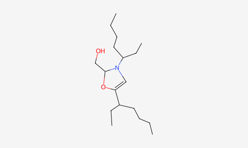 CCCCC(CC)C1=CN(C(CC)CCCC)C(CO)O1